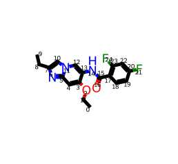 CCOc1cc2nc(CC)cn2cc1NC(=O)c1ccc(F)cc1F